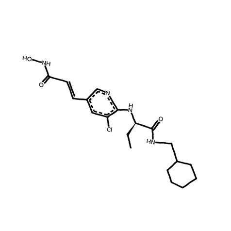 CC[C@@H](Nc1ncc(/C=C/C(=O)NO)cc1Cl)C(=O)NCC1CCCCC1